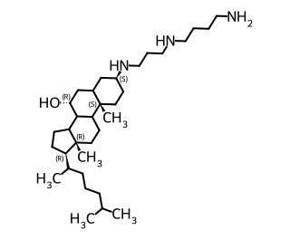 CC(C)CCCC(C)[C@H]1CCC2C3C(CC[C@@]21C)[C@@]1(C)CC[C@H](NCCCNCCCCN)CC1C[C@H]3O